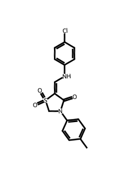 Cc1ccc(N2CS(=O)(=O)/C(=C/Nc3ccc(Cl)cc3)C2=O)cc1